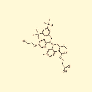 CC[C@@H]1C[C@H](N(Cc2cc(C(F)(F)F)cc(C(F)(F)F)c2)c2ncc(OCCO)cn2)c2cc(C)ccc2N1C(=O)OCCC(=O)O